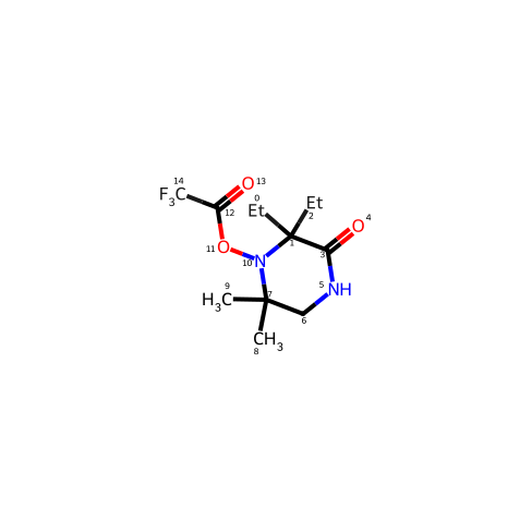 CCC1(CC)C(=O)NCC(C)(C)N1OC(=O)C(F)(F)F